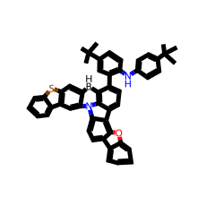 CC(C)(C)c1ccc(Nc2ccc(C(C)(C)C)cc2-c2ccc3c4c5oc6ccccc6c5ccc4n4c3c2Bc2cc3sc5ccccc5c3cc2-4)cc1